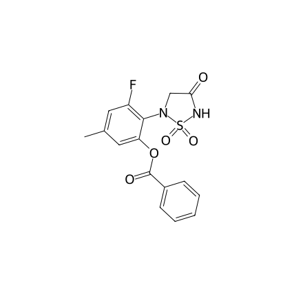 Cc1cc(F)c(N2CC(=O)NS2(=O)=O)c(OC(=O)c2ccccc2)c1